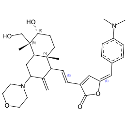 C=C1C(N2CCOCC2)CC2[C@](C)(CC[C@@H](O)[C@@]2(C)CO)C1/C=C/C1=CC(=C\c2ccc(N(C)C)cc2)/OC1=O